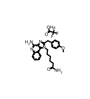 COc1ccc(Cc2nc3c(N)nc4ccccc4c3n2CCCCCC(N)=O)cc1.O=C(O)C(F)(F)F